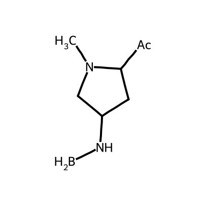 BNC1CC(C(C)=O)N(C)C1